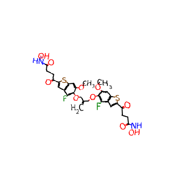 C=C(COc1c(OC)cc2sc(C(=O)CCC(=O)NO)cc2c1F)COc1c(OC)cc2sc(C(=O)CCC(=O)NO)cc2c1F